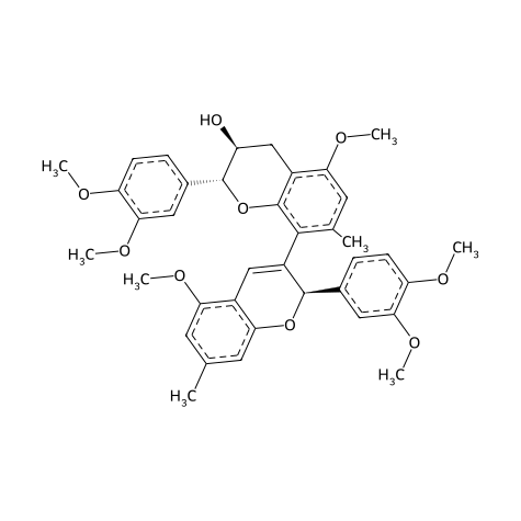 COc1ccc([C@H]2Oc3c(c(OC)cc(C)c3C3=Cc4c(OC)cc(C)cc4O[C@@H]3c3ccc(OC)c(OC)c3)C[C@@H]2O)cc1OC